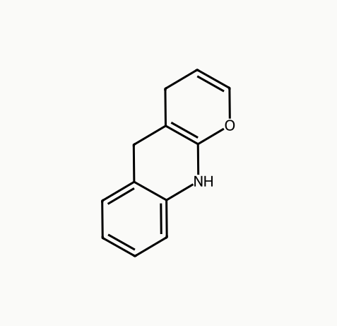 C1=COC2=C(C1)Cc1ccccc1N2